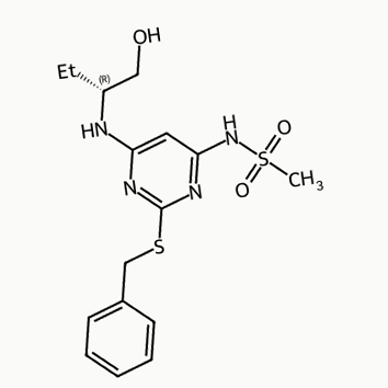 CC[C@H](CO)Nc1cc(NS(C)(=O)=O)nc(SCc2ccccc2)n1